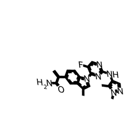 C=C(C(N)=O)c1ccc2c(c1)c(C)cn2-c1nc(Nc2cnn(C)c2C)ncc1F